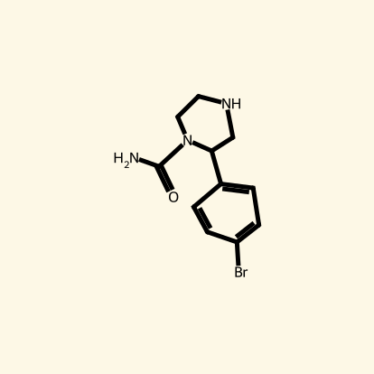 NC(=O)N1CCNCC1c1ccc(Br)cc1